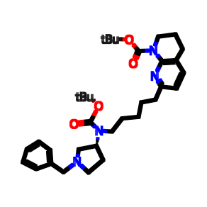 CC(C)(C)OC(=O)N1CCCc2ccc(CCCCCN(C(=O)OC(C)(C)C)[C@@H]3CCN(Cc4ccccc4)C3)nc21